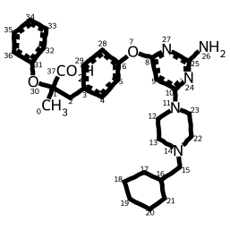 CC(Cc1ccc(Oc2cc(N3CCN(CC4CCCCC4)CC3)nc(N)n2)cc1)(Oc1ccccc1)C(=O)O